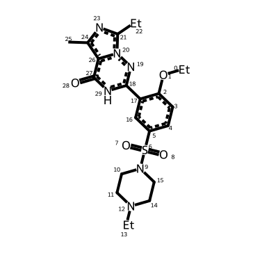 CCOc1ccc(S(=O)(=O)N2CCN(CC)CC2)cc1-c1nn2c(CC)nc(C)c2c(=O)[nH]1